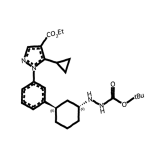 CCOC(=O)c1cnn(-c2cccc([C@@H]3CCC[C@@H](NNC(=O)OC(C)(C)C)C3)c2)c1C1CC1